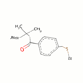 CCSc1ccc(C(=O)C(C)(C)NC)cc1